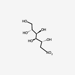 O=[N+]([O-])C[C@@H](O)[C@@H](O)[C@H](O)[C@H](O)CO